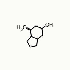 C=C1CC(O)CC2CCCC12